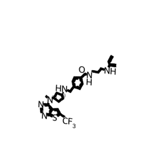 C=CC(=C)NCCCNC(=O)c1ccc(CN[C@H]2CC[C@@H](N(C)c3ncnc4sc(CC(F)(F)F)cc34)C2)cc1